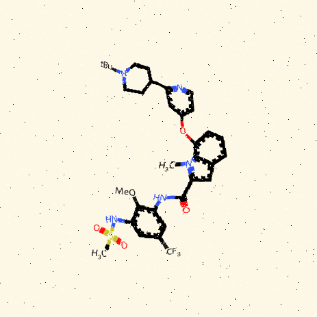 COc1c(NC(=O)c2cc3cccc(Oc4ccnc(C5CCN(C(C)(C)C)CC5)c4)c3n2C)cc(C(F)(F)F)cc1NS(C)(=O)=O